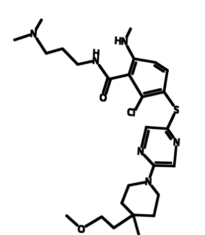 CNc1ccc(Sc2cnc(N3CCC(C)(CCOC)CC3)cn2)c(Cl)c1C(=O)NCCCN(C)C